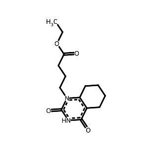 CCOC(=O)CCCn1c2c(c(=O)[nH]c1=O)CCCC2